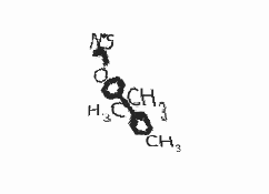 Cc1ccc(C(C)(C)c2ccc(OCc3cncs3)cc2)cc1